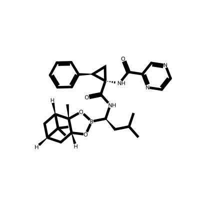 CC(C)C[C@H](NC(=O)[C@]1(NC(=O)c2cnccn2)C[C@@H]1c1ccccc1)B1O[C@@H]2C[C@@H]3C[C@@H](C3(C)C)[C@]2(C)O1